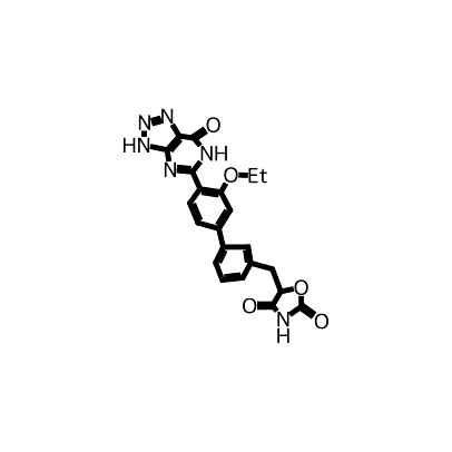 CCOc1cc(-c2cccc(CC3OC(=O)NC3=O)c2)ccc1-c1nc2[nH]nnc2c(=O)[nH]1